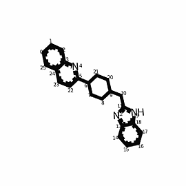 c1ccc2nc(C3CCC(Cc4nc5ccccc5[nH]4)CC3)ccc2c1